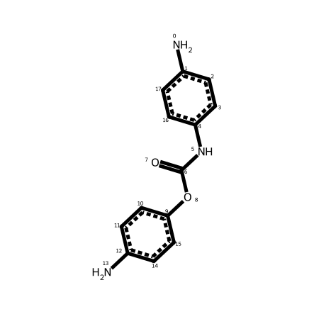 Nc1ccc(NC(=O)Oc2ccc(N)cc2)cc1